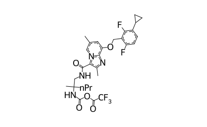 CCCC(C)(CNC(=O)c1c(C)nc2c(OCc3c(F)ccc(C4CC4)c3F)cc(C)cn12)NC(=O)OC(=O)C(F)(F)F